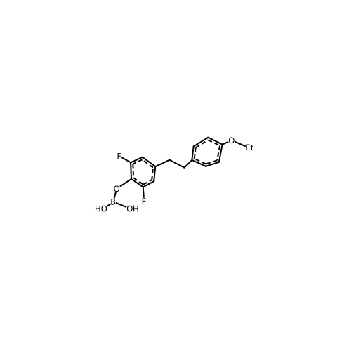 CCOc1ccc(CCc2cc(F)c(OB(O)O)c(F)c2)cc1